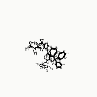 CC(C)C(=O)Nc1nc2c(ncn2[C@H]2C[C@H](NC(c3ccccc3)(c3ccccc3)c3ccccc3)[C@@H](CO[Si](C)(C)C(C)(C)C)O2)c(=O)[nH]1